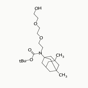 CC12CC3CC(C)(C1)CC(N(CCOCCOCCO)C(=O)OC(C)(C)C)(C3)C2